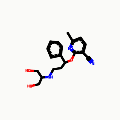 Cc1ccc(C#N)c(OC(CCNC(CO)CO)c2ccccc2)n1